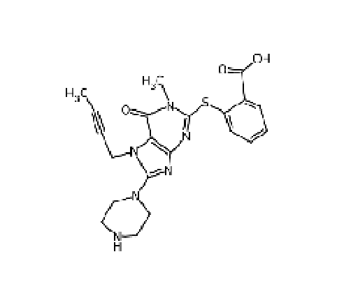 CC#CCn1c(N2CCNCC2)nc2nc(Sc3ccccc3C(=O)O)n(C)c(=O)c21